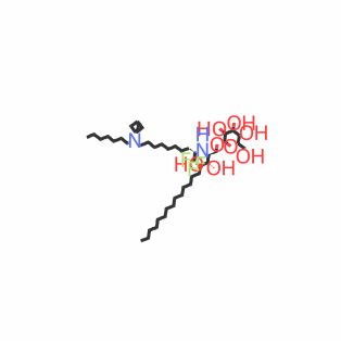 CCCCCCCCCCCCCC[C@@H](O)[C@@H](O)[C@H](COC1OC(CO)C(O)C(O)C1O)N[C@@H](CCCCCCCCN(CCCCCCC)C12CC(C1)C2)C(F)(F)F